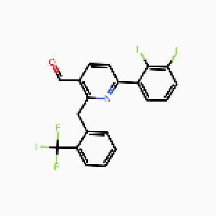 O=Cc1ccc(-c2cccc(F)c2F)nc1Cc1ccccc1C(F)(F)F